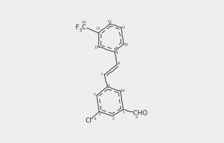 O=Cc1cc(Cl)cc(C=Cc2cccc(C(F)(F)F)c2)c1